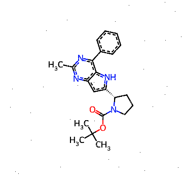 Cc1nc(-c2ccccc2)c2[nH]c([C@@H]3CCCN3C(=O)OC(C)(C)C)cc2n1